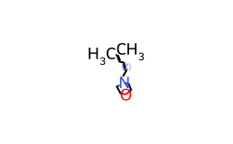 CC(C)=C/C=C\CN1CCOCC1